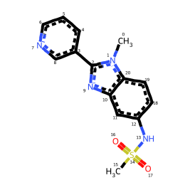 Cn1c(-c2cccnc2)nc2cc(NS(C)(=O)=O)ccc21